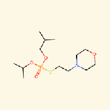 CC(C)COP(=O)(OC(C)C)SCCN1CCOCC1